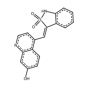 O=S1(=O)Nc2ccccc2C1=Cc1ccnc2cc(O)ccc12